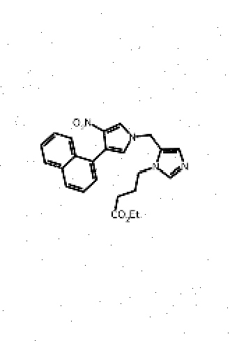 CCOC(=O)CCCn1cncc1Cn1cc(-c2cccc3ccccc23)c([N+](=O)[O-])c1